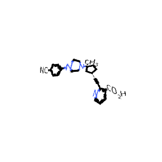 C[C@]1(N2CCN(c3ccc(C#N)cc3)CC2)CC[C@H](C#Cc2ncccc2C(=O)O)C1